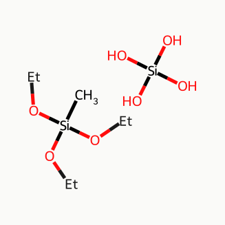 CCO[Si](C)(OCC)OCC.O[Si](O)(O)O